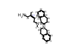 C/C(=C/CN(C[C@H]1Cc2ccccc2CN1)[C@H]1CCCc2cccnc21)CN